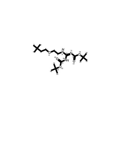 CC(C)(C)CCOCCN/C(=N/C(=O)OC(C)(C)C)NC(=O)OC(C)(C)C